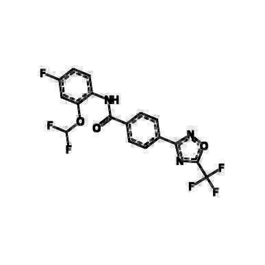 O=C(Nc1ccc(F)cc1OC(F)F)c1ccc(-c2noc(C(F)(F)F)n2)cc1